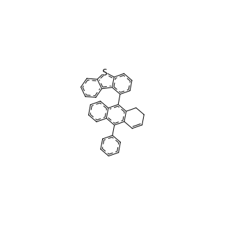 C1=Cc2c(c(-c3cccc4sc5ccccc5c34)c3ccccc3c2-c2ccccc2)CC1